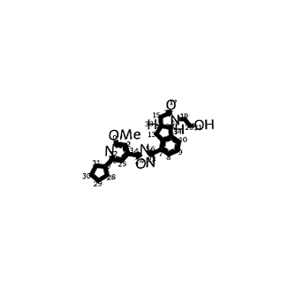 COc1cc(-c2nc(-c3cccc4c3C[C@H]3CC(=O)N(CCO)[C@@H]43)no2)cc(C2CCCC2)n1